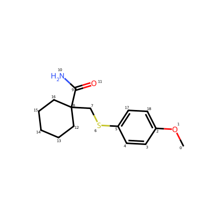 COc1ccc(SCC2(C(N)=O)CCCCC2)cc1